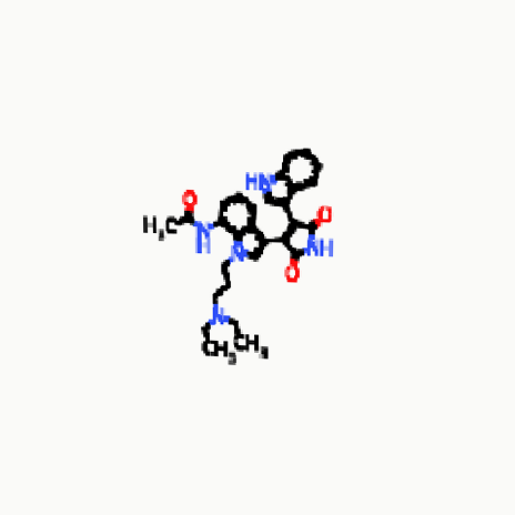 CCN(CC)CCCn1cc(C2=C(c3c[nH]c4ccccc34)C(=O)NC2=O)c2cccc(NC(C)=O)c21